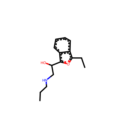 CCCNCC(O)c1oc(CC)c2ccccc12